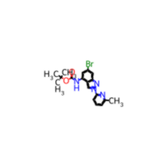 Cc1cccc(-n2cc3c(NC(=O)OC(C)(C)C)cc(Br)cc3n2)n1